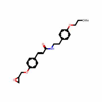 COCCOc1ccc(CCNC(=O)/C=C/c2ccc(OCC3CO3)cc2)cc1